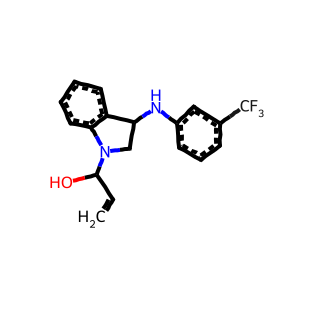 C=CC(O)N1CC(Nc2cccc(C(F)(F)F)c2)c2ccccc21